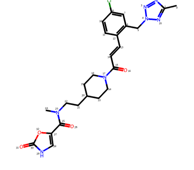 Cc1nnn(Cc2cc(Cl)ccc2C=CC(=O)N2CCC(CCN(C)C(=O)c3c[nH]c(=O)o3)CC2)n1